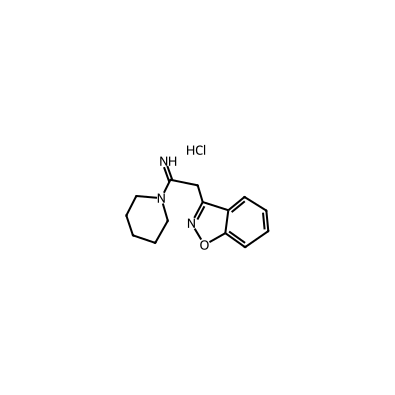 Cl.N=C(Cc1noc2ccccc12)N1CCCCC1